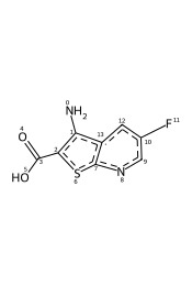 Nc1c(C(=O)O)sc2ncc(F)cc12